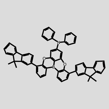 CC1(C)c2ccccc2-c2ccc(-c3cccc4c3Oc3cc(N(c5ccccc5)c5ccccc5)cc5c3B4c3cccc(-c4ccc6c(c4)C(C)(C)c4ccccc4-6)c3O5)cc21